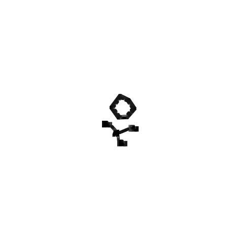 CC[CH](C)[Al]([CH](C)CC)[CH](C)CC.c1ccccc1